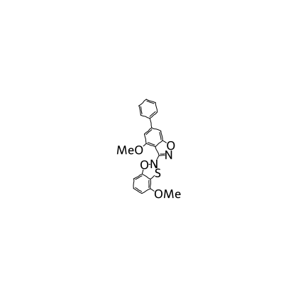 COc1cccc2c1SN(c1noc3cc(-c4ccccc4)cc(OC)c13)O2